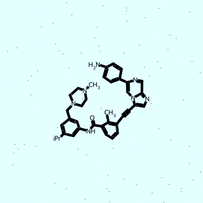 Cc1c(C#Cc2cnc3cnc(-c4ccc(N)cc4)cn23)cccc1C(=O)Nc1cc(CN2CCN(C)CC2)cc(C(C)C)c1